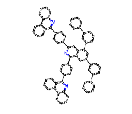 c1ccc(-c2cccc(-c3cc(-c4cccc(-c5ccccc5)c4)c4cc(-c5ccc(-c6nc7ccccc7c7ccccc67)cc5)nc(-c5ccc(-c6nc7ccccc7c7ccccc67)cc5)c4c3)c2)cc1